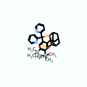 C[Si](C)(C)c1cc(C(P)(c2ccccn2)c2ccccn2)c(C23CC4CC(CC(C4)C2CP)C3)cc1[Si](C)(C)C